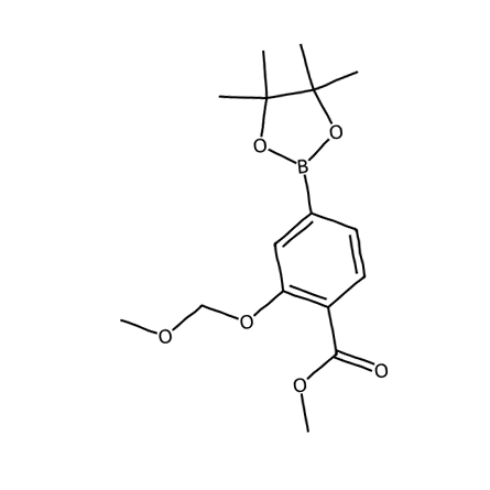 COCOc1cc(B2OC(C)(C)C(C)(C)O2)ccc1C(=O)OC